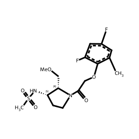 COC[C@H]1[C@@H](NS(C)(=O)=O)CCN1C(=O)COc1c(C)cc(F)cc1F